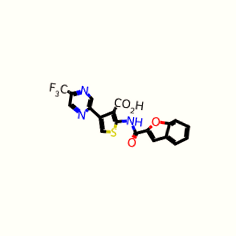 O=C(Nc1scc(-c2cnc(C(F)(F)F)cn2)c1C(=O)O)c1cc2ccccc2o1